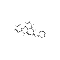 C(=CC(=Nc1ccccc1)Sc1ccccc1)Oc1ccccc1